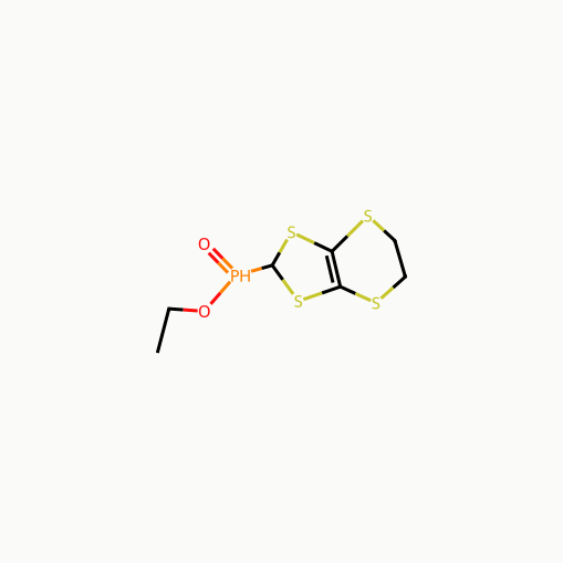 CCO[PH](=O)C1SC2=C(SCCS2)S1